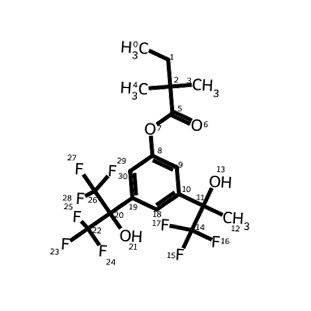 CCC(C)(C)C(=O)Oc1cc(C(C)(O)C(F)(F)F)cc(C(O)(C(F)(F)F)C(F)(F)F)c1